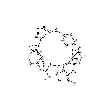 COc1cc2c3cc1Oc1c(OC)c(OC)cc4c1[C@H](Cc1ccc(cc1)Oc1cccc(c1)C[C@H]3N(C)CC2)N(C)CC4